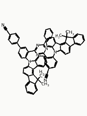 CC1(C)c2ccccc2-c2ccc3c(c21)c1ccccc1n3-c1ccc(C#N)cc1-c1nc(-c2ccccc2)nc(-c2cc(-c3ccc(C#N)cc3)ccc2-n2c3ccccc3c3c4c(ccc32)-c2ccccc2C4(C)C)n1